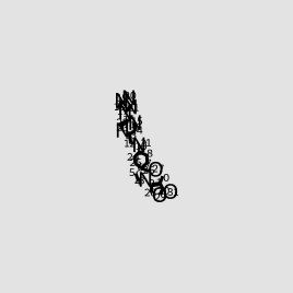 CC1=C(N2CC[C@]3(CC[C@@H](N(C)Cc4cnc(-n5cnnn5)cn4)CC3)C2=O)COC1=O